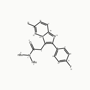 CCCCN(CCCC)C(=O)Cc1c(-c2ccc(F)cc2)nc2ccc(C)nn12